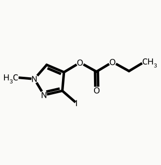 CCOC(=O)Oc1cn(C)nc1I